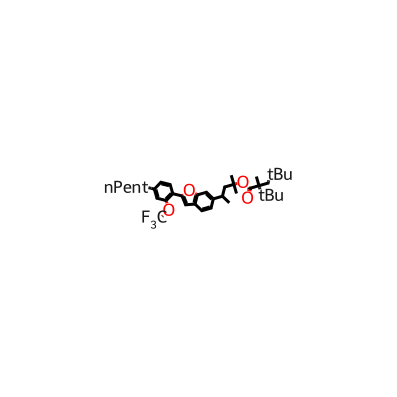 CCCCCc1ccc(-c2cc3ccc(C(C)CC(C)(C)OC(=O)C(C)(CC(C)(C)C)C(C)(C)C)cc3o2)c(OC(F)(F)F)c1